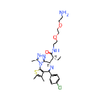 CC[C@@H](C(=O)NCCOCCOCCN)[C@@H]1N=C(c2ccc(Cl)cc2)c2c(sc(C)c2C)-n2c(C)nnc21